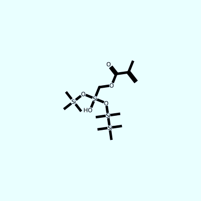 C=C(C)C(=O)OC[Si](O)(O[Si](C)(C)C)O[Si](C)(C)[Si](C)(C)C